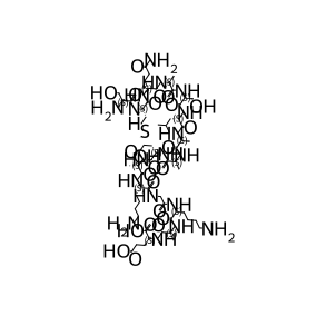 CSCC[C@H](NC(=O)[C@@H](N)CO)C(=O)N[C@@H](CCC(N)=O)C(=O)N[C@@H](C)C(=O)N[C@@H](CO)C(=O)N[C@@H](CC(C)C)C(=O)N[C@@H](C)C(=O)N[C@@H](C)C(=O)N[C@@H](CCC(=O)O)C(=O)N[C@@H](C)C(=O)N[C@@H](CCCCN)C(=O)NCC(=O)N[C@@H](CCCCN)C(=O)N[C@@H](C)C(=O)N[C@@H](CCC(=O)O)C(=O)O